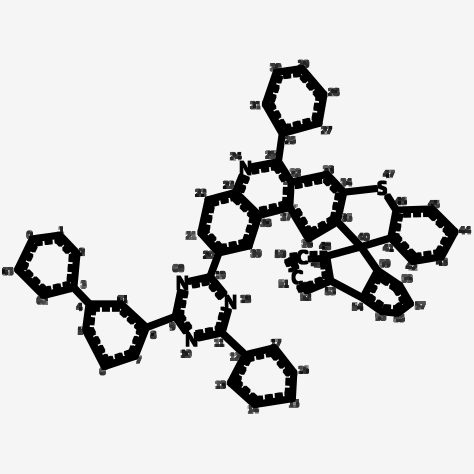 c1ccc(-c2cccc(-c3nc(-c4ccccc4)nc(-c4ccc5nc(-c6ccccc6)c6cc7c(cc6c5c4)C4(c5ccccc5S7)c5ccccc5-c5ccccc54)n3)c2)cc1